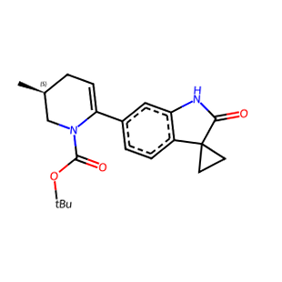 C[C@H]1CC=C(c2ccc3c(c2)NC(=O)C32CC2)N(C(=O)OC(C)(C)C)C1